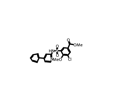 COC(=O)c1cc(Cl)c(OC)c(S(=O)(=O)Nc2cc(-c3ccccc3)ccn2)c1